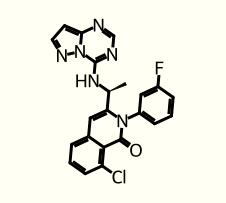 C[C@H](Nc1ncnc2ccnn12)c1cc2cccc(Cl)c2c(=O)n1-c1cccc(F)c1